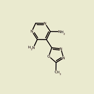 Cc1nnc(-c2c(N)ncnc2N)o1